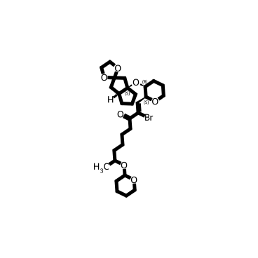 CC(CCCCC(=O)C(Br)=C[C@@H]1OCCC[C@H]1O[C@]12CCC[C@@H]1CC1(C2)OCCO1)OC1CCCCO1